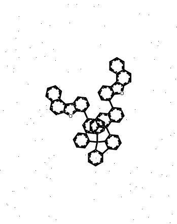 c1ccc(C2(c3ccccc3)c3ccccc3-c3cccc(-c4c5cccc(-c6cccc7c6oc6ccc8ccccc8c67)c5cc5c(-c6cccc7c6oc6ccc8ccccc8c67)cccc45)c32)cc1